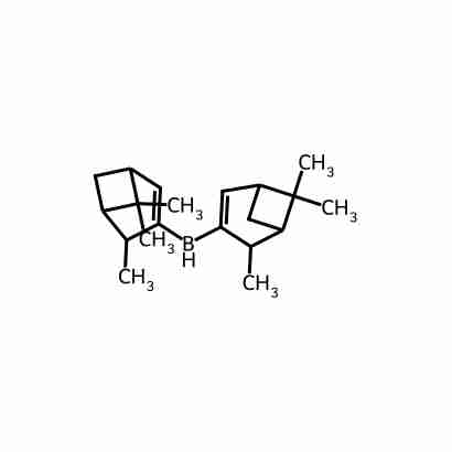 CC1C(BC2=CC3CC(C2C)C3(C)C)=CC2CC1C2(C)C